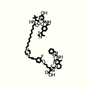 Cc1ncsc1-c1ccc([C@H](C)NC(=O)[C@@H]2C[C@@H](O)CN2C(=O)C(NC(=O)CCCCCCCCCCCN2CCN(CC#Cc3ccc(OCCCc4sc(N5CCCc6c5nnc(Nc5nc7ccccc7s5)c6C)nc4C(=O)O)c(F)c3)CC2)C(C)(C)C)cc1